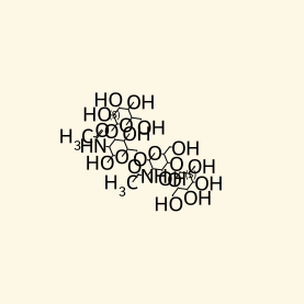 CC(=O)NC1C(OCC2OC(O)C(NC(C)=O)C(OC3OC(CO)C(O)C(O)[C@@H]3O)C2O)OC(CO)C(OC2OC(CO)C(O)C(O)[C@@H]2O)C1O